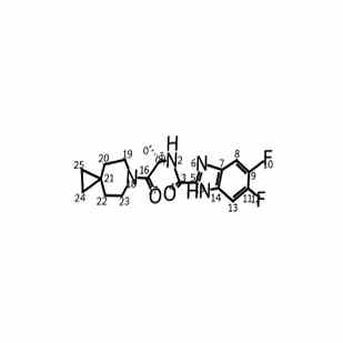 C[C@H](NC(=O)c1nc2cc(F)c(F)cc2[nH]1)C(=O)N1CCC2(CC1)CC2